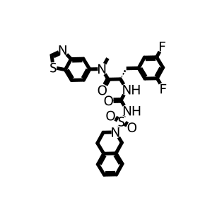 CN(C(=O)[C@H](Cc1cc(F)cc(F)c1)NC(=O)NS(=O)(=O)N1CCc2ccccc2C1)c1ccc2scnc2c1